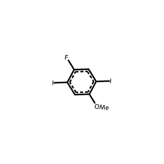 COc1cc(I)c(F)cc1I